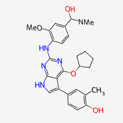 CNC(O)c1ccc(Nc2nc(OC3CCCC3)c3c(-c4ccc(O)c(C)c4)c[nH]c3n2)c(OC)c1